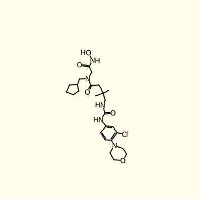 CC(C)(CNC(=O)Nc1ccc(N2CCOCC2)c(Cl)c1)CC(=O)N(CC(=O)NO)CC1CCCC1